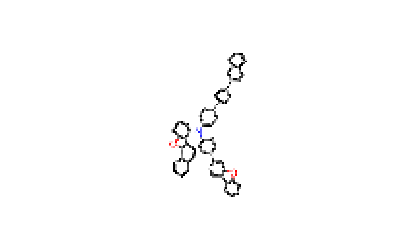 c1ccc2cc(-c3ccc(-c4ccc(N(c5ccc(-c6ccc7c(c6)oc6ccccc67)cc5)c5cccc6oc7c8ccccc8ccc7c56)cc4)cc3)ccc2c1